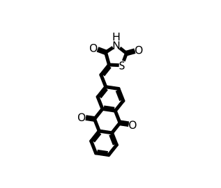 O=C1NC(=O)C(=Cc2ccc3c(c2)C(=O)c2ccccc2C3=O)S1